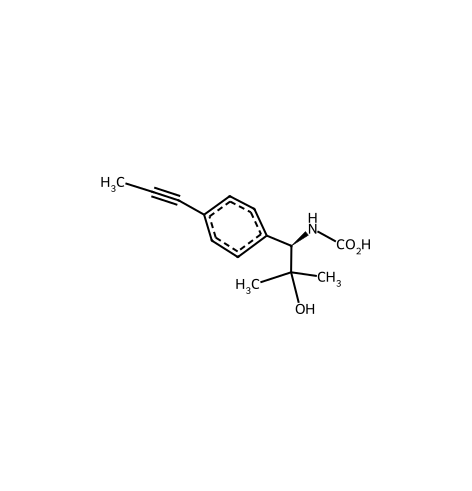 CC#Cc1ccc([C@@H](NC(=O)O)C(C)(C)O)cc1